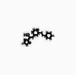 O/C(=C\c1cc(CCc2ccccc2)ncn1)C1=NCC=N1